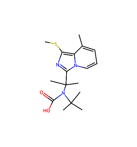 CSc1nc(C(C)(C)N(C(=O)O)C(C)(C)C)n2cccc(C)c12